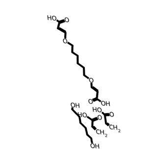 C=CC(=O)O.C=CC(=O)O.O=C(O)C=COCCCCCCOC=CC(=O)O.OCCCCCCO